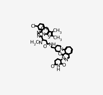 C=NC(CC(=O)NCC1CCN(C2=CCC=Cc3cnn(C4CCC(=O)NC4=O)c(=O)c32)CC1)c1nnc(C)n1-c1sc(C)c(C)c1CC1=CCC(Cl)C=C1